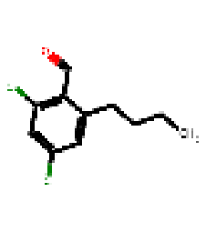 CCCCc1cc(Cl)cc(Cl)c1C=O